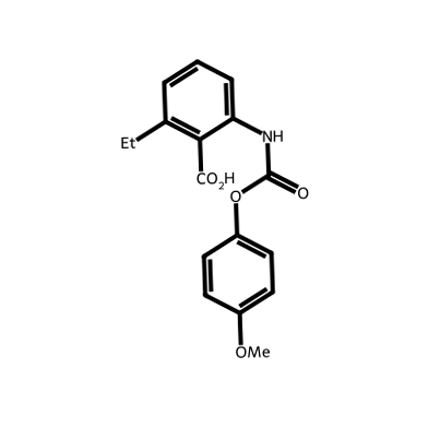 CCc1cccc(NC(=O)Oc2ccc(OC)cc2)c1C(=O)O